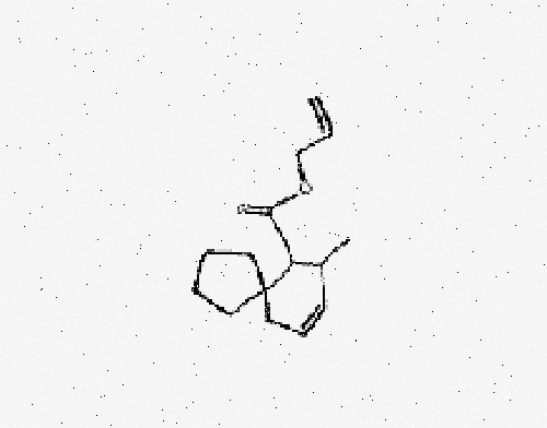 C=CCOC(=O)C1C(C)C=CCC12CCCC2